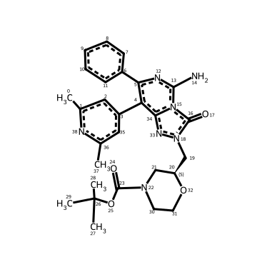 Cc1cc(-c2c(-c3ccccc3)nc(N)n3c(=O)n(C[C@@H]4CN(C(=O)OC(C)(C)C)CCO4)nc23)cc(C)n1